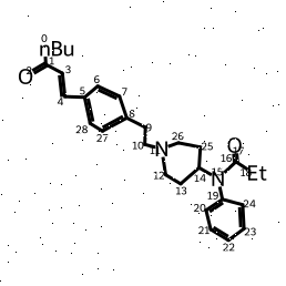 CCCCC(=O)/C=C/c1ccc(CCN2CCC(N(C(=O)CC)c3ccccc3)CC2)cc1